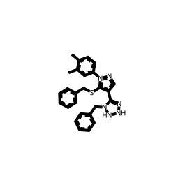 Cc1ccc(-n2ncc(C3=NNNN3Cc3ccccc3)c2SCc2ccccc2)cc1C